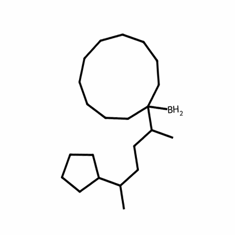 BC1(C(C)CCC(C)C2CCCC2)CCCCCCCCCC1